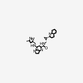 Cc1cc(CNc2cc(C(=O)NC[C@@H]3C[C@H]3c3ccc4ccccc4n3)nc3ccnn23)n(C)n1